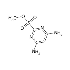 COS(=O)(=O)c1nc(N)cc(N)n1